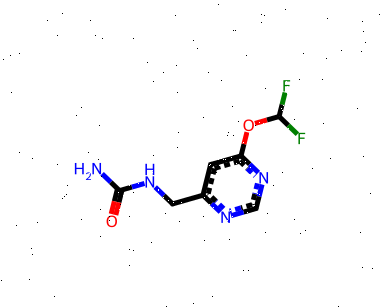 NC(=O)NCc1cc(OC(F)F)ncn1